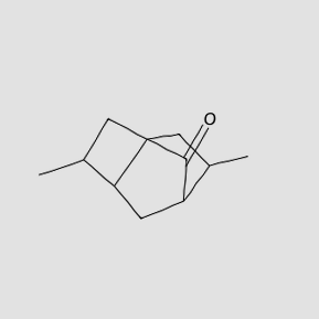 CC1CC23CC(C)C2CC1C3=O